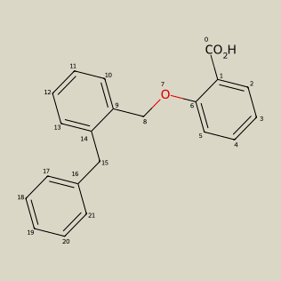 O=C(O)c1ccccc1OCc1ccccc1Cc1ccccc1